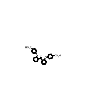 O=C(O)c1ccc(Oc2ccccc2C(=O)c2ccccc2Oc2ccc(C(=O)O)cc2)cc1